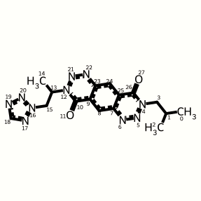 CC(C)Cn1nnc2cc3c(=O)n(C(C)Cn4ncnn4)nnc3cc2c1=O